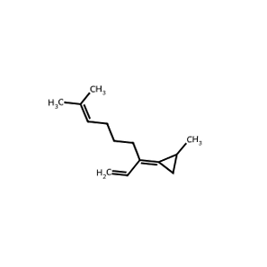 C=CC(CCCC=C(C)C)=C1CC1C